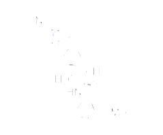 COc1cccc(NC(=O)C(C)(C)c2ccc(S(=O)(=O)/C=C/C#N)cc2)c1